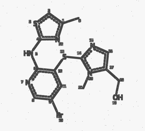 Cc1csc(Nc2ncc(Br)cc2Sc2ncc(CO)n2C)n1